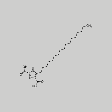 CCCCCCCCCCCCCCCCCc1[nH]c(C(=O)O)nc1C(=O)O